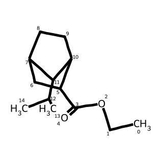 CCOC(=O)C1CC2CCC1C2C(C)C